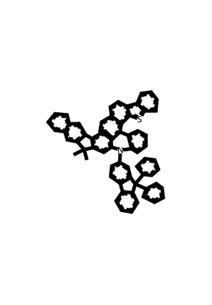 CC1(C)c2cc(N(c3ccc4c(c3)C(c3ccccc3)(c3ccccc3)c3ccccc3-4)c3ccccc3-c3cccc4ccc5c6ccccc6sc5c34)ccc2-c2cc3ccccc3cc21